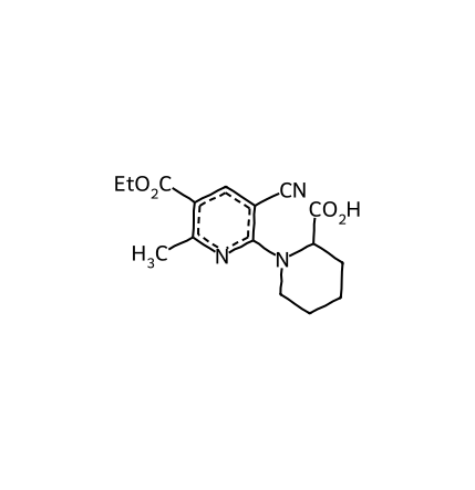 CCOC(=O)c1cc(C#N)c(N2CCCCC2C(=O)O)nc1C